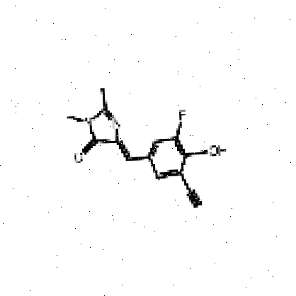 C#Cc1cc(/C=C2\N=C(C)N(C)C2=O)cc(F)c1O